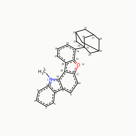 Cn1c2ccccc2c2ccc3oc4c(C56CC7CC(CC(C7)C5)C6)cccc4c3c21